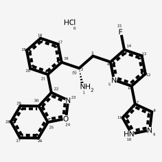 Cl.N[C@@H](Cc1nc(-c2cn[nH]c2)ccc1F)c1ccccc1-c1noc2ccccc12